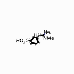 C/N=C(\NC)Nc1cccc(C(=O)O)c1